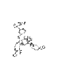 Cc1c(Sc2cccc(C(=O)O)c2)c2ccc(Cl)c(F)c2n1CC(=O)N1CCC2(COC2)C1